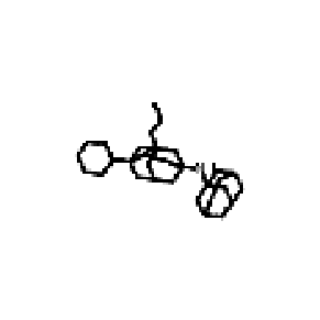 CCCC12CC3CC(NC45CC6CC(CC(C6)C4)C5)(C1)CC(C1CCCCC1)(C3)C2